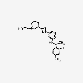 Cc1ccc(C(C)Nc2cncc(N3CC(C4CCCN(CCO)C4)C3)n2)c(Cl)c1